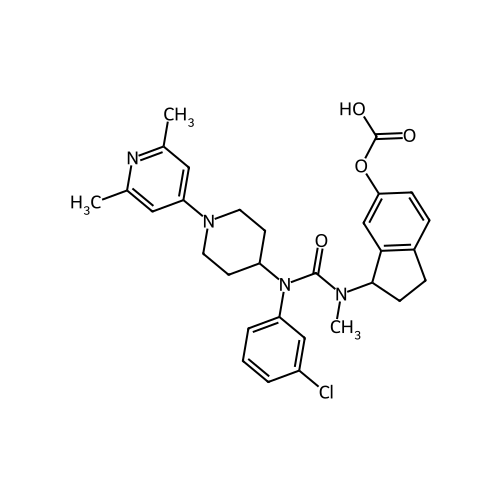 Cc1cc(N2CCC(N(C(=O)N(C)C3CCc4ccc(OC(=O)O)cc43)c3cccc(Cl)c3)CC2)cc(C)n1